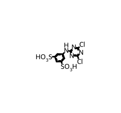 O=S(=O)(O)c1cc(Nc2nc(Cl)nc(Cl)n2)cc(S(=O)(=O)O)c1